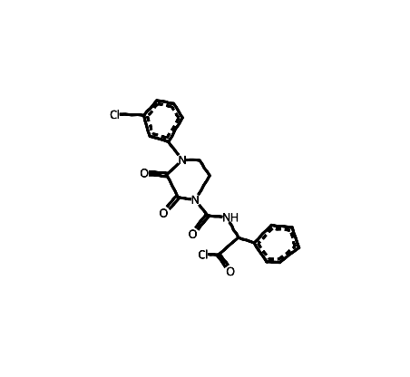 O=C(Cl)C(NC(=O)N1CCN(c2cccc(Cl)c2)C(=O)C1=O)c1ccccc1